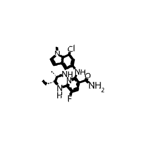 CC[C@@H](Nc1nc(NC2=CC(Cl)C3C(=C2)C=CN3C)c(C(N)=O)cc1F)[C@H](C)N